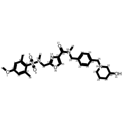 COc1cc(C)c(S(=O)(=O)N(C)Cc2nc(C(=O)N(C)Cc3ccc(CN4CCCC(O)C4)cc3)co2)c(C)c1